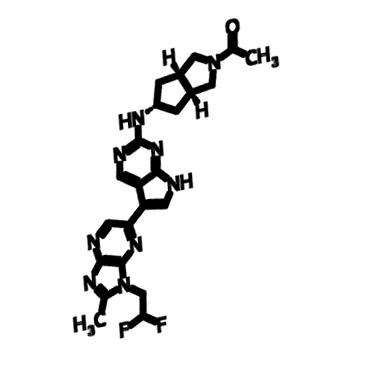 CC(=O)N1C[C@H]2C[C@@H](Nc3ncc4c(-c5cnc6nc(C)n(CC(F)F)c6n5)c[nH]c4n3)C[C@H]2C1